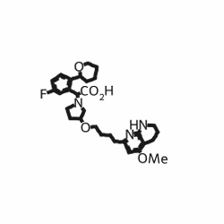 COc1cc(CCCCOC2CCN(C(C(=O)O)c3cc(F)ccc3C3CCCCO3)C2)nc2c1CCCN2